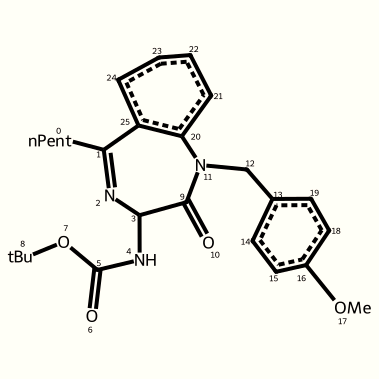 CCCCCC1=NC(NC(=O)OC(C)(C)C)C(=O)N(Cc2ccc(OC)cc2)c2ccccc21